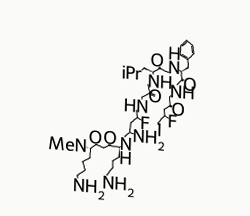 CN[C@@H](CCCCN)C(=O)CC(=O)[C@H](CCCCN)NCC(N)CC(F)CNCC(=O)CN[C@@H](CC(C)C)C(=O)CN[C@@H](Cc1ccccc1)C(=O)CNCC(=O)CC(F)CI